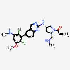 C=CC(=O)N1C[C@@H](Nc2ncc3cc(-c4c(Cl)c(NC)cc(OC)c4Cl)ccc3n2)C[C@H]1CNC